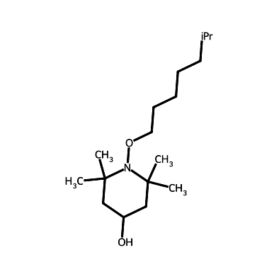 CC(C)CCCCCON1C(C)(C)CC(O)CC1(C)C